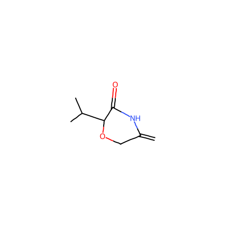 C=C1COC(C(C)C)C(=O)N1